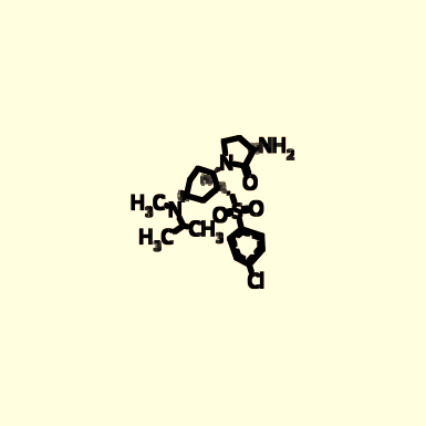 CC(C)N(C)[C@@H]1CC[C@H](N2CC[C@H](N)C2=O)[C@H](CS(=O)(=O)c2ccc(Cl)cc2)C1